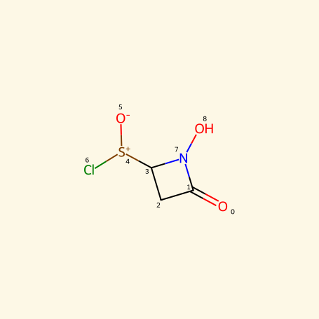 O=C1CC([S+]([O-])Cl)N1O